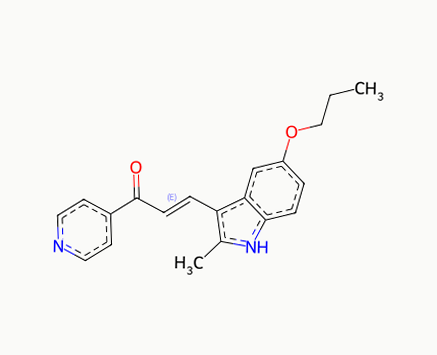 CCCOc1ccc2[nH]c(C)c(/C=C/C(=O)c3ccncc3)c2c1